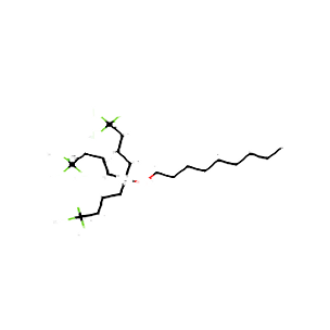 CCCCCCCCC[O][Sn]([CH2]CCC(F)(F)F)([CH2]CCC(F)(F)F)[CH2]CCC(F)(F)F